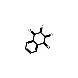 O=c1c(=O)c(=O)c2ccccc2c1=O